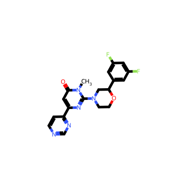 Cn1c(N2CCOC(c3cc(F)cc(F)c3)C2)nc(-c2ccncn2)cc1=O